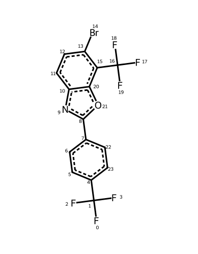 FC(F)(F)c1ccc(-c2nc3ccc(Br)c(C(F)(F)F)c3o2)cc1